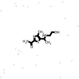 Cc1nc(C(N)=O)sc1C(C)NCCO